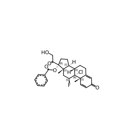 C[C@]12C=CC(=O)C=C1CC[C@H]1[C@@H]3CC[C@](OC(=O)c4ccccc4)(C(=O)CO)[C@@]3(C)C[C@H](F)[C@@]12Cl